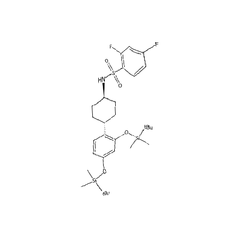 CC(C)(C)[Si](C)(C)Oc1ccc([C@H]2CC[C@H](NS(=O)(=O)c3ccc(F)cc3F)CC2)c(O[Si](C)(C)C(C)(C)C)c1